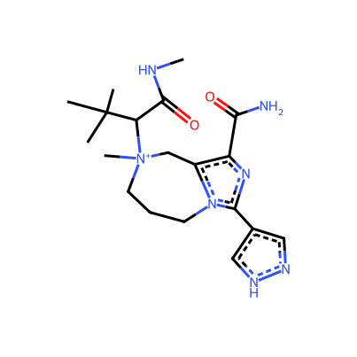 CNC(=O)C(C(C)(C)C)[N+]1(C)CCCn2c(-c3cn[nH]c3)nc(C(N)=O)c2C1